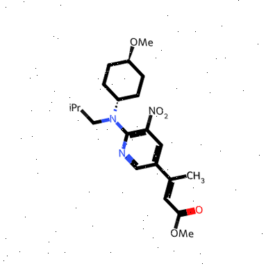 COC(=O)/C=C(\C)c1cnc(N(CC(C)C)[C@H]2CC[C@H](OC)CC2)c([N+](=O)[O-])c1